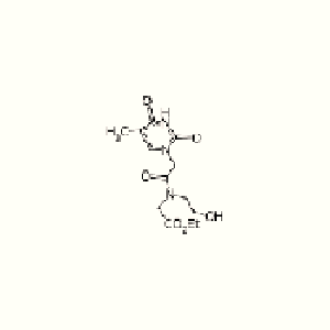 CCOC(=O)CN(CCO)C(=O)Cn1cc(C)c(=O)[nH]c1=O